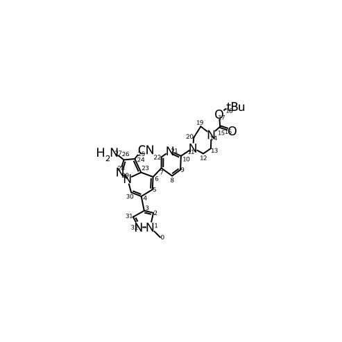 Cn1cc(-c2cc(-c3ccc(N4CCN(C(=O)OC(C)(C)C)CC4)nc3)c3c(C#N)c(N)nn3c2)cn1